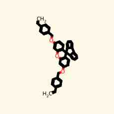 C=Cc1ccc(COc2ccc3c(c2)Oc2cc(OCc4ccc(C=C)cc4)ccc2C32c3ccccc3-c3ccccc32)cc1